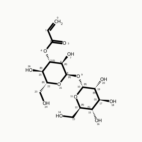 C=CC(=O)O[C@@H]1[C@@H](O)[C@@H](O[C@H]2O[C@H](CO)[C@@H](O)[C@H](O)[C@H]2O)O[C@H](CO)[C@H]1O